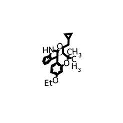 CCOc1ccc2c(c1)OC(C)(C)C(CCC1CC1)[C@]21C(=O)Nc2ccccc21